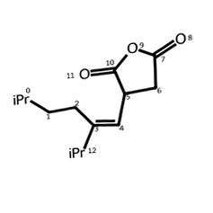 CC(C)CCC(=CC1CC(=O)OC1=O)C(C)C